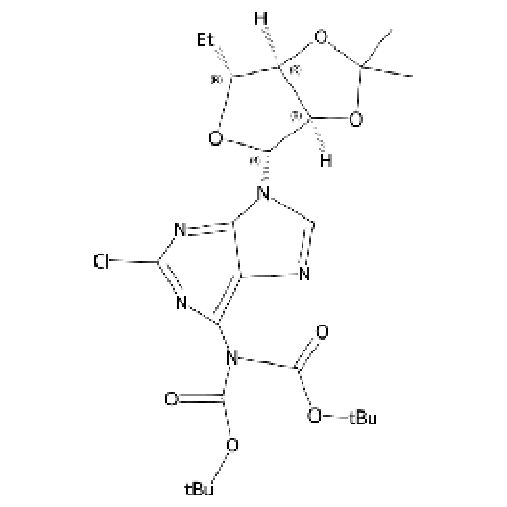 CC[C@H]1O[C@@H](n2cnc3c(N(C(=O)OC(C)(C)C)C(=O)OC(C)(C)C)nc(Cl)nc32)[C@@H]2OC(C)(C)O[C@@H]21